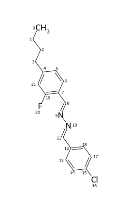 CCCCc1ccc(C=NN=Cc2ccc(Cl)cc2)c(F)c1